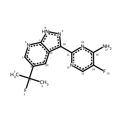 CC(C)(F)c1cnc2[nH]nc(-c3ncc(F)c(N)n3)c2c1